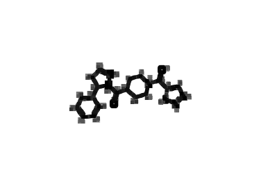 O=C(c1cnns1)N1CCC(C(=O)N2N=CCC2c2ccccc2)CC1